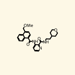 COCc1ccc(C(=O)Nc2cccnc2C(=O)NCCC2CCOCC2)c2ccccc12